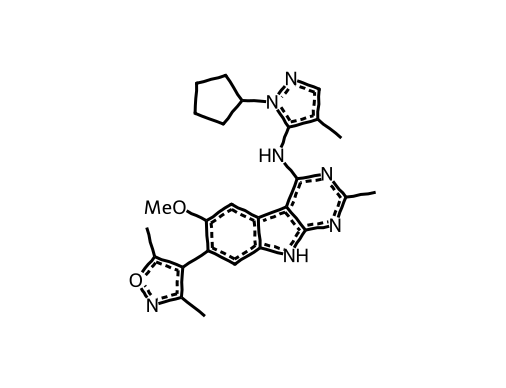 COc1cc2c(cc1-c1c(C)noc1C)[nH]c1nc(C)nc(Nc3c(C)cnn3C3CCCC3)c12